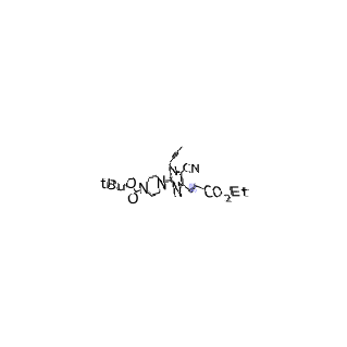 CC#CCn1c(N2CCN(C(=O)OC(C)(C)C)CC2)nc(/C=C/C(=O)OCC)c1C#N